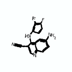 N#Cc1cnc2ccc(N)cc2c1Nc1ccc(F)c(F)c1